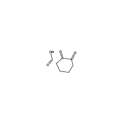 O=C1CCCCC1=O.O=CO